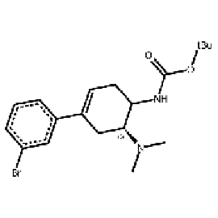 CN(C)[C@H]1CC(c2cccc(Br)c2)=CCC1NC(=O)OC(C)(C)C